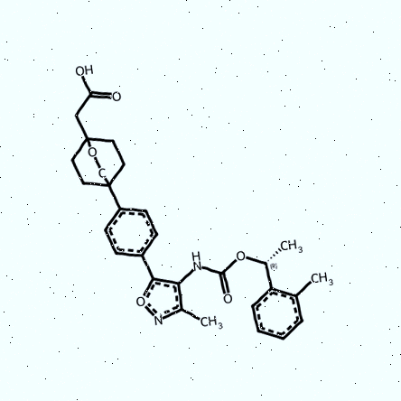 Cc1ccccc1[C@@H](C)OC(=O)Nc1c(C)noc1-c1ccc(C23CCC(CC(=O)O)(CC2)OC3)cc1